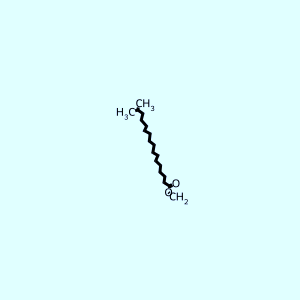 [CH2]OC(=O)CCCCCCCCCCCCCCC(C)C